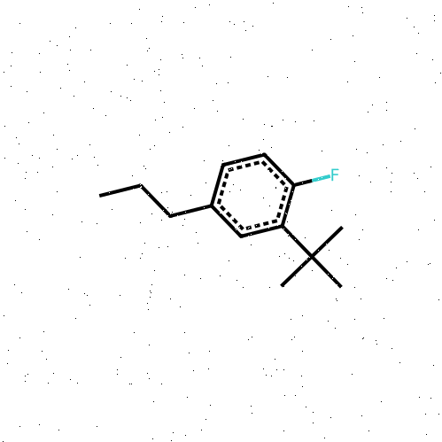 CCCc1ccc(F)c(C(C)(C)C)c1